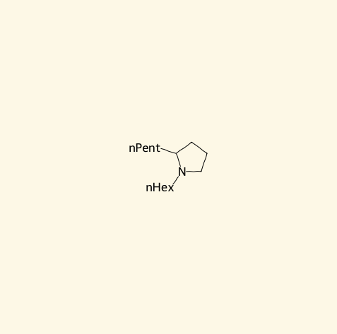 CCCCCCN1CCCC1CCCCC